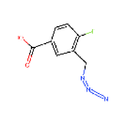 [N-]=[N+]=NCc1cc(C(=O)O)ccc1F